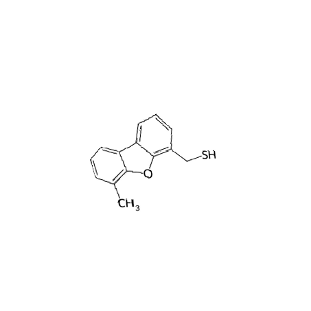 Cc1cccc2c1oc1c(CS)cccc12